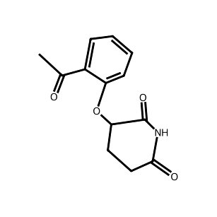 CC(=O)c1ccccc1OC1CCC(=O)NC1=O